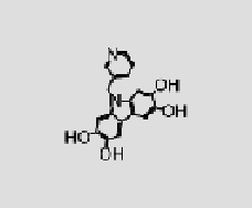 Oc1cc2c3cc(O)c(O)cc3n(Cc3cccnc3)c2cc1O